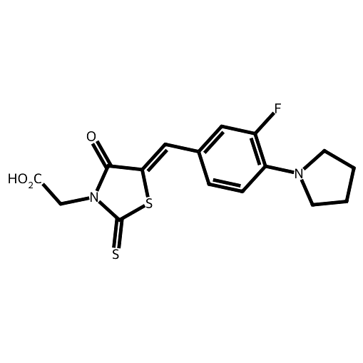 O=C(O)CN1C(=O)/C(=C/c2ccc(N3CCCC3)c(F)c2)SC1=S